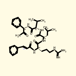 CC(C)C[C@H](NC(=O)[C@H](CCCNC(=N)N)NC(=O)/C=C/c1ccccc1)C(=O)N[C@H](C(=O)N[C@H](C(N)=O)c1ccccc1)C(C)C